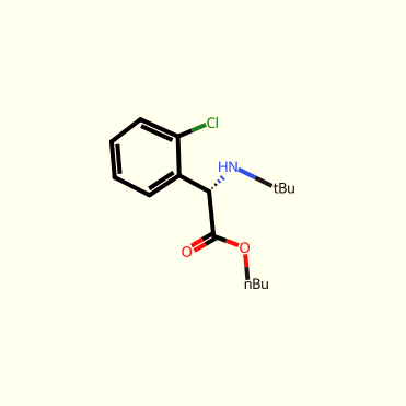 CCCCOC(=O)[C@@H](NC(C)(C)C)c1ccccc1Cl